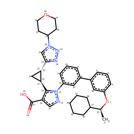 C[C@H](Oc1cccc(-c2cccc(-n3ncc(C(=O)O)c3[C@H]3C[C@@H]3c3cn(C4CCOCC4)nn3)c2)c1)C1CCCCC1